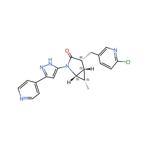 C[C@H]1[C@@H]2[C@H]1N(c1cc(-c3ccncc3)n[nH]1)C(=O)[C@@H]2Cc1ccc(Cl)nc1